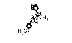 COc1ccc(COC(=O)Nc2sc(C34CC5CC6CC(C3)C6(C5)C4)nc2C)cc1